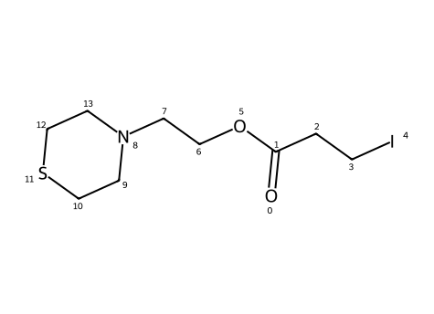 O=C(CCI)OCCN1CCSCC1